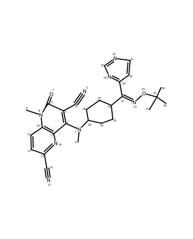 CN(c1c(C#N)c(=O)n(C)c2ccc(C#N)nc12)C1CCC(/C(=N/OC(C)(C)C)c2ccncn2)CC1